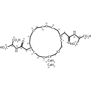 O=C(CN1CCOCCOCCN(CC(=O)NC(C(=O)O)C(=O)O)CCOCCOCC1)NC(C(=O)O)C(=O)O.[CaH2].[CaH2]